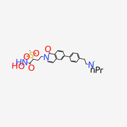 CCCN(C)CCc1ccc(-c2ccc3c(=O)n(CCC(C(=O)NO)S(C)(=O)=O)ccc3c2)cc1